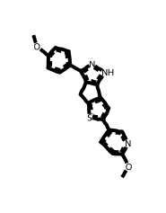 COc1ccc(-c2n[nH]c3c2Cc2sc(-c4ccc(OC)nc4)cc2-3)cc1